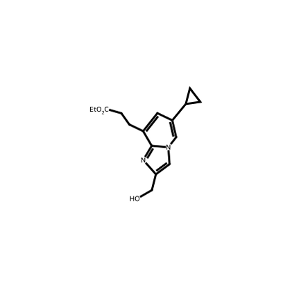 CCOC(=O)CCc1cc(C2CC2)cn2cc(CO)nc12